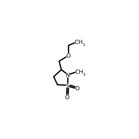 CCOCC1CCS(=O)(=O)N1C